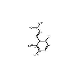 O=[N+]([O-])C=Cc1c(Cl)ccc(Cl)c1Cl